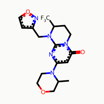 CC1COCCN1c1cc(=O)n2c(n1)N(Cc1ccon1)C(C(F)(F)F)CC2